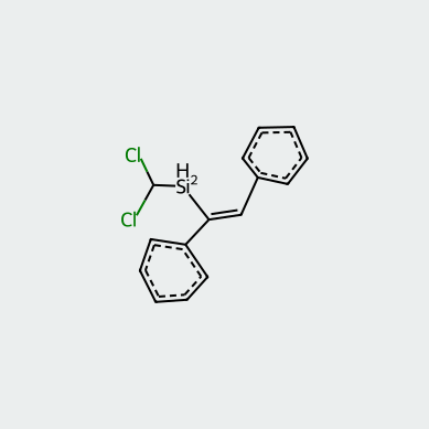 ClC(Cl)[SiH2]C(=Cc1ccccc1)c1ccccc1